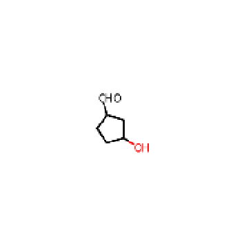 O=CC1CCC(O)C1